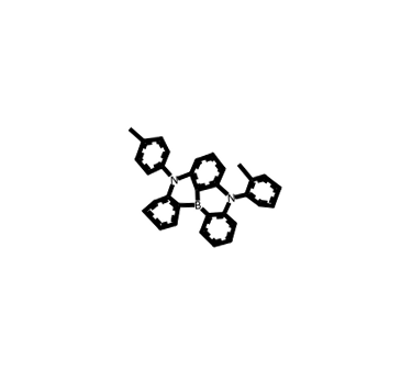 Cc1ccc(N2c3ccccc3B3c4ccccc4N(c4ccccc4C)c4cccc2c43)cc1